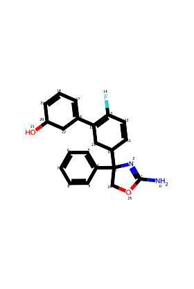 NC1=NC(c2ccccc2)(C2C=CC(F)=C(C3=CC=CC(O)C3)C2)CO1